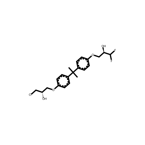 CC(C)(c1ccc(OC[C@H](O)CCl)cc1)c1ccc(OC[C@@H](O)C(F)F)cc1